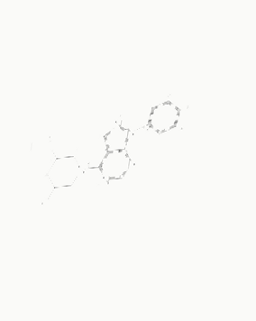 CC1CC(C)CN(c2ncnc3c2cnn3-c2ccccc2)C1